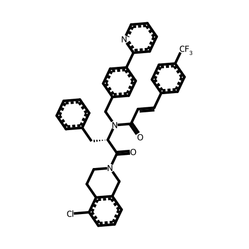 O=C([C@H](Cc1ccccc1)N(Cc1ccc(-c2ccccn2)cc1)C(=O)C=Cc1ccc(C(F)(F)F)cc1)N1CCc2c(Cl)cccc2C1